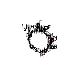 COc1ccc(C[C@@H]2NC(=O)[C@@H]3CCCC(=O)N[C@@H]4C[C@H](C(=O)N3)N(C4)C(=O)[C@H](Cc3c[nH]c4ccc(F)cc34)NC(=O)[C@H](Cc3c[nH]c4ccc(F)cc34)NC(=O)[C@@H](C)NC(=O)[C@H](CCCCN)NC(=O)CCSCc3cccc(c3)CSCCNC(=O)[C@]3(C)CCCN3C2=O)cc1